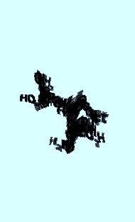 CC/C(C)=N\OCCOCCOCCNC(=O)[C@H](CCCCNC(=O)COCCOCCNC(=O)c1cc(COC(N)=O)ccc1O[C@@H]1O[C@H](C(=O)O)[C@@H](O)[C@H](O)[C@H]1O)NC(=O)COCCOCCNC(=O)c1cc(COC(N)=O)ccc1O[C@@H]1O[C@H](C(=O)O)[C@@H](O)[C@H](O)[C@H]1O